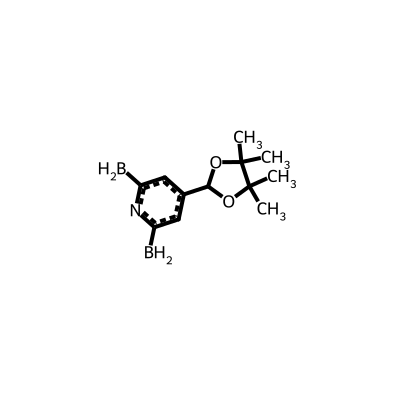 Bc1cc(C2OC(C)(C)C(C)(C)O2)cc(B)n1